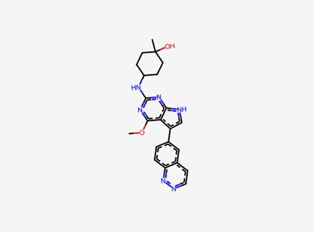 COc1nc(NC2CCC(C)(O)CC2)nc2[nH]cc(-c3ccc4nnccc4c3)c12